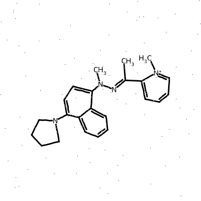 C/C(=N\N(C)c1ccc(N2CCCC2)c2ccccc12)c1cccc[n+]1C